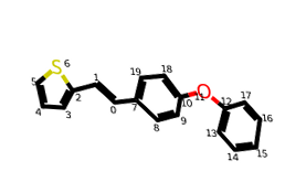 C(=Cc1cccs1)c1ccc(Oc2ccccc2)cc1